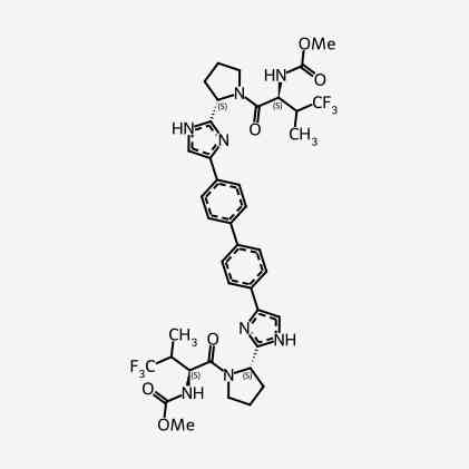 COC(=O)N[C@H](C(=O)N1CCC[C@H]1c1nc(-c2ccc(-c3ccc(-c4c[nH]c([C@@H]5CCCN5C(=O)[C@@H](NC(=O)OC)C(C)C(F)(F)F)n4)cc3)cc2)c[nH]1)C(C)C(F)(F)F